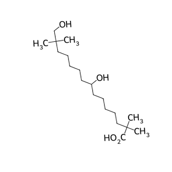 CC(C)(CO)CCCCCC(O)CCCCCC(C)(C)C(=O)O